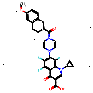 COc1ccc2c(c1)CCC(C(=O)N1CCN(c3c(F)c(F)c4c(=O)c(C(=O)O)cn(C5CC5)c4c3F)CC1)C2